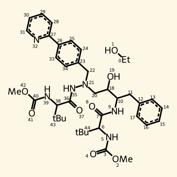 CCO.COC(=O)NC(C(=O)NC(Cc1ccccc1)C(O)CN(Cc1ccc(-c2ccccn2)cc1)NC(=O)C(NC(=O)OC)C(C)(C)C)C(C)(C)C